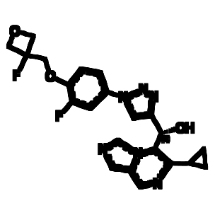 O[C@@H](c1cn(-c2ccc(OCC3(F)COC3)c(F)c2)nn1)c1c(C2CC2)ncc2cncn12